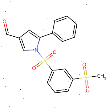 CS(=O)(=O)c1cccc(S(=O)(=O)n2cc(C=O)cc2-c2ccccc2)c1